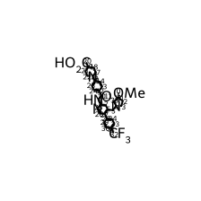 CO[C@H]1CCN(Cc2cc(NC(=O)c3ccc(N4CCC(C(=O)O)CC4)cc3)ncc2-c2ccc(C(F)(F)F)cc2)C1